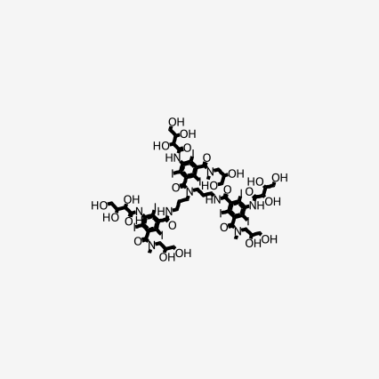 CN(CC(O)CO)C(=O)c1c(I)c(NC(=O)C(O)C(O)CO)c(I)c(C(=O)NCCCN(CCCNC(=O)c2c(I)c(NC(=O)C(O)C(O)CO)c(I)c(C(=O)N(C)CC(O)CO)c2I)C(=O)c2c(I)c(NC(=O)C(O)C(O)CO)c(I)c(C(=O)N(C)CC(O)CO)c2I)c1I